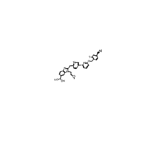 COCCn1c(Cc2ccc(-c3cccc(OCc4ccc(C#N)cc4F)n3)cn2)nc2ccc(C(O)O)cc21